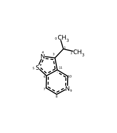 CC(C)c1nsc2ccncc12